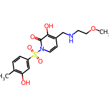 COCCNCc1ccn(S(=O)(=O)c2ccc(C)c(O)c2)c(=O)c1O